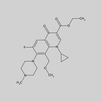 CCOC(=O)c1cn(C2CC2)c2c(COC)c(N3CCN(C)CC3)c(F)cc2c1=O